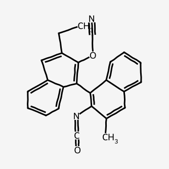 CCc1cc2ccccc2c(-c2c(N=C=O)c(C)cc3ccccc23)c1OC#N